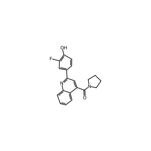 O=C(c1cc(-c2ccc(O)c(F)c2)nc2ccccc12)N1CCCC1